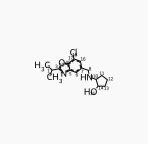 CC(C)c1nc2cc(CNC3CCCC3O)cc(Cl)c2o1